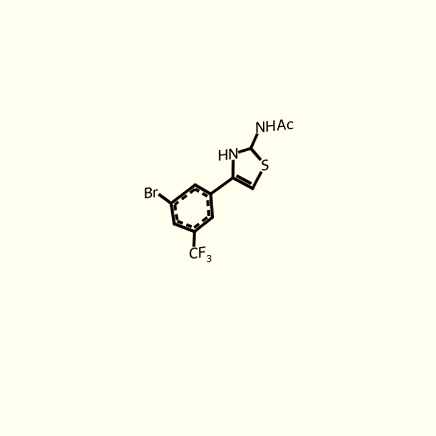 CC(=O)NC1NC(c2cc(Br)cc(C(F)(F)F)c2)=CS1